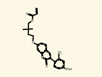 C=CC(=O)OCC(C)(C)CCOc1ccc2cc(-c3ccc(CCCCC)cc3C(F)(F)F)c(=O)sc2c1